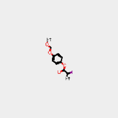 CCOCOc1ccc(OC(=O)C(I)CC)cc1